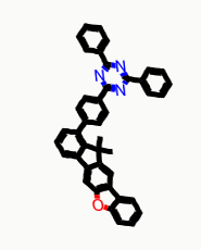 CC1(C)c2cc3c(cc2-c2cccc(-c4ccc(-c5nc(-c6ccccc6)nc(-c6ccccc6)n5)cc4)c21)oc1ccccc13